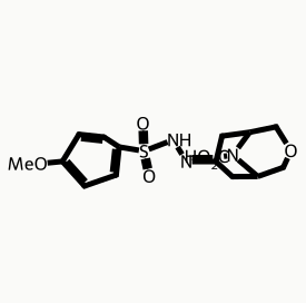 COc1ccc(S(=O)(=O)NN=C2CC3COCC(C2)N3C(=O)O)cc1